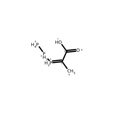 CC(=[PH2][PH3][PH4])C(=O)O